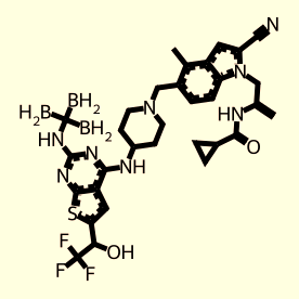 BC(B)(B)Nc1nc(NC2CCN(Cc3ccc4c(cc(C#N)n4CC(=C)NC(=O)C4CC4)c3C)CC2)c2cc(C(O)C(F)(F)F)sc2n1